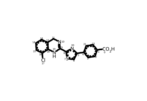 O=C(O)c1ccc(-c2csc(C3=NCc4cccc(Cl)c4N3)n2)cc1